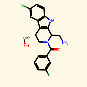 NCC1c2[nH]c3ccc(Cl)cc3c2CCN1C(=O)c1cccc(Cl)c1.O=CO